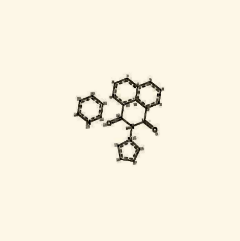 O=C1c2cccc3cccc(c23)C(=O)N1n1cccc1.c1ccncc1